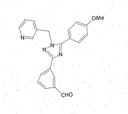 COc1ccc(-c2nc(-c3cccc(C=O)c3)nn2Cc2cccnc2)cc1